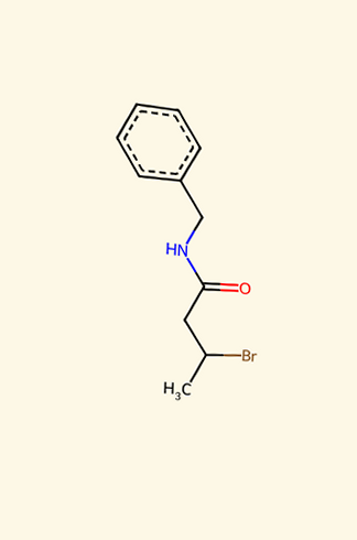 CC(Br)CC(=O)NCc1ccccc1